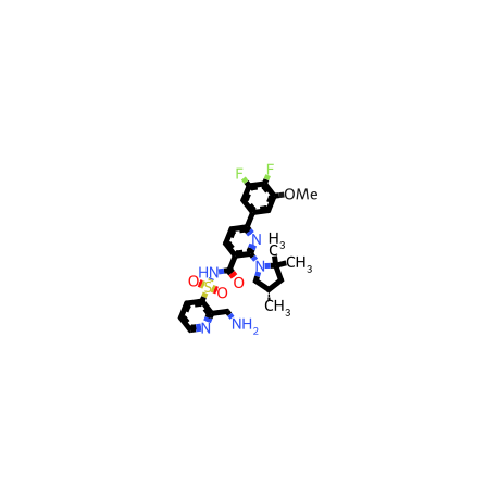 COc1cc(-c2ccc(C(=O)NS(=O)(=O)c3cccnc3CN)c(N3C[C@@H](C)CC3(C)C)n2)cc(F)c1F